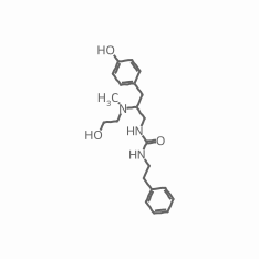 CN(CCO)C(CNC(=O)NCCc1ccccc1)Cc1ccc(O)cc1